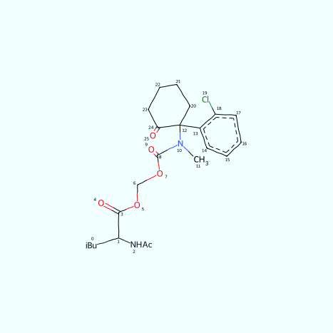 CCC(C)C(NC(C)=O)C(=O)OCOC(=O)N(C)C1(c2ccccc2Cl)CCCCC1=O